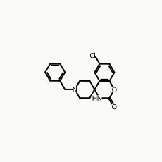 O=C1NC2(CCN(Cc3ccccc3)CC2)c2cc(Cl)ccc2O1